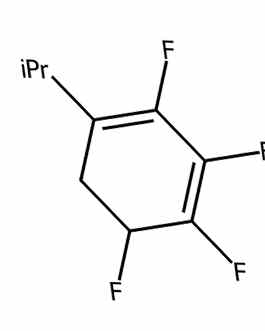 CC(C)C1=C(F)C(F)=C(F)C(F)C1